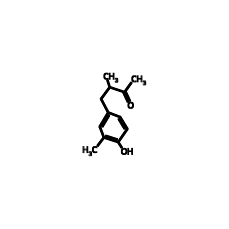 CC(=O)C(C)Cc1ccc(O)c(C)c1